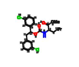 COC(=O)C(CC(C)C)NC(=O)OC(Cc1cccc(Cl)c1)c1cccc(Cl)c1